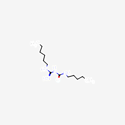 CCCCCCNC(=N)NC(=O)NCCCCC